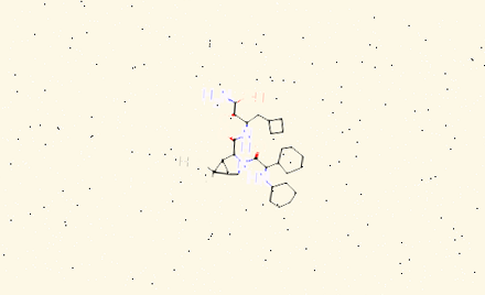 CC1(C)C2CN(C(=O)C(NC3CCCCC3)C3CCCCC3)C(C(=O)NC(CC3CCC3)C(=O)C(N)O)[C@@H]21